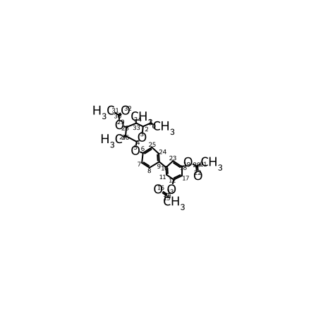 CCC1OC(Oc2ccc(-c3cc(OC(C)=O)cc(OC(C)=O)c3)cc2)C(C)C(OC(C)=O)C1C